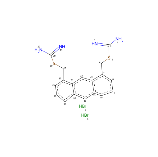 Br.Br.N=C(N)SCc1cccc2cc3cccc(CSC(=N)N)c3cc12